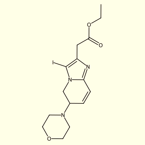 CCOC(=O)Cc1nc2n(c1I)CC(N1CCOCC1)C=C2